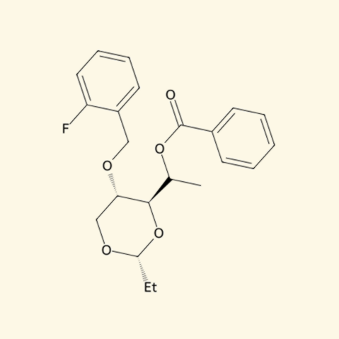 CC[C@@H]1OC[C@H](OCc2ccccc2F)[C@@H](C(C)OC(=O)c2ccccc2)O1